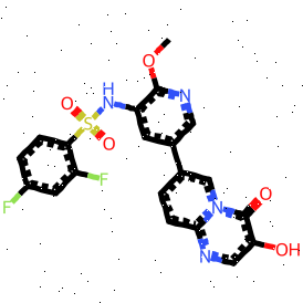 COc1ncc(-c2ccc3ncc(O)c(=O)n3c2)cc1NS(=O)(=O)c1ccc(F)cc1F